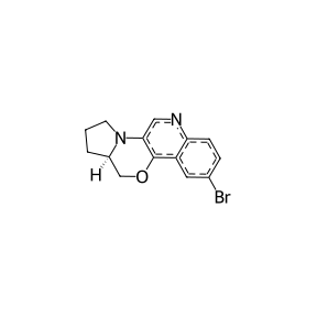 Brc1ccc2ncc3c(c2c1)OC[C@H]1CCCN31